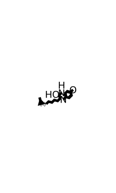 COc1ccc2c(c1)NC(O)C(CCCCC[C@@H]1CC1C)=N2